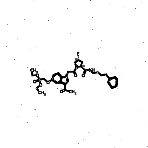 CCOP(=O)(COc1ccc2c(c1)c(C(C)=O)cn2CC(=O)N1C[C@H](F)C[C@H]1C(=O)NCCCCc1ccccc1)OCC